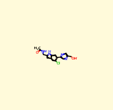 CC(=O)NCc1cc2cc(Cl)c(-c3cnc(CO)cn3)cc2[nH]1